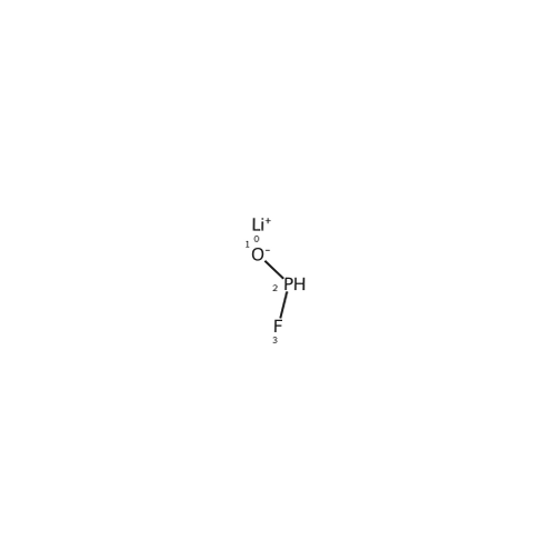 [Li+].[O-]PF